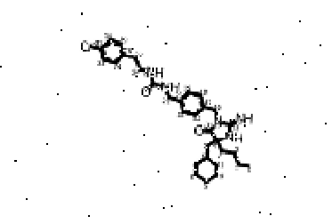 CCCCC1(CC2CCCCC2)NC(=N)N(Cc2ccc(CNC(=O)NCCc3ccc(Cl)cc3)cc2)C1=O